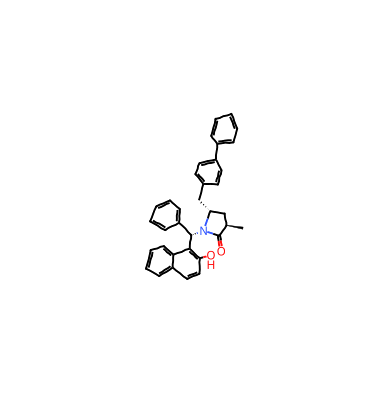 C[C@@H]1C[C@@H](Cc2ccc(-c3ccccc3)cc2)N([C@@H](c2ccccc2)c2c(O)ccc3ccccc23)C1=O